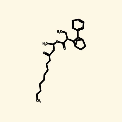 CCCCCCCCCC(=O)OC(C)OC(=O)N(CC)C1C2CCC(C2)C1c1ccccc1